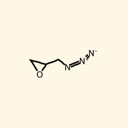 [N-]=[N+]=NCC1CO1